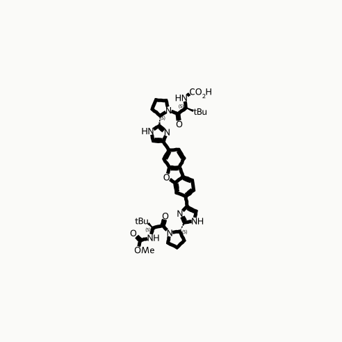 COC(=O)N[C@H](C(=O)N1CCC[C@H]1c1nc(-c2ccc3c(c2)oc2cc(-c4c[nH]c([C@@H]5CCCN5C(=O)[C@@H](NC(=O)O)C(C)(C)C)n4)ccc23)c[nH]1)C(C)(C)C